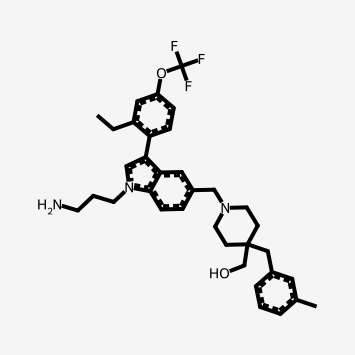 CCc1cc(OC(F)(F)F)ccc1-c1cn(CCCN)c2ccc(CN3CCC(CO)(Cc4cccc(C)c4)CC3)cc12